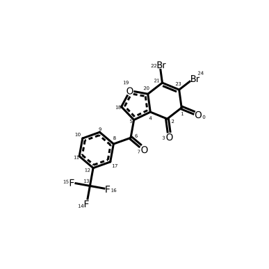 O=C1C(=O)c2c(C(=O)c3cccc(C(F)(F)F)c3)coc2C(Br)=C1Br